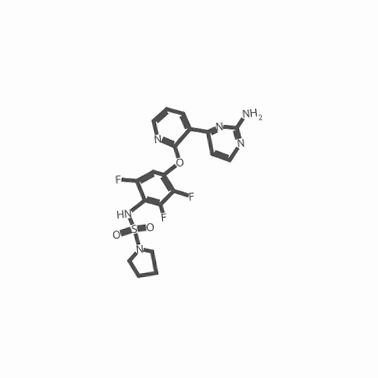 Nc1nccc(-c2cccnc2Oc2cc(F)c(NS(=O)(=O)N3CCCC3)c(F)c2F)n1